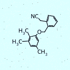 Cc1cc(C)c(C)c(OCc2ccccc2CC#N)c1